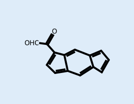 O=CC(=O)C1=CC=c2cc3c(cc21)=CC=C3